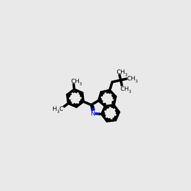 Cc1cc(C)cc(C2=Nc3cccc4cc(CC(C)(C)C)cc2c34)c1